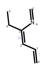 C=C/C=C(/CC)N=C